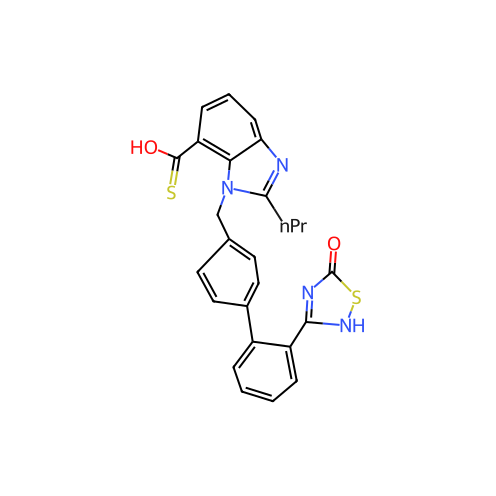 CCCc1nc2cccc(C(O)=S)c2n1Cc1ccc(-c2ccccc2-c2nc(=O)s[nH]2)cc1